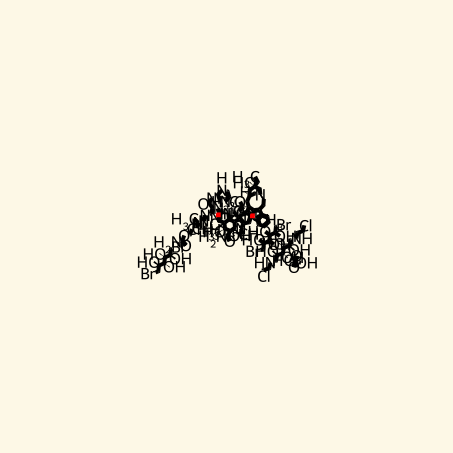 C1CNCCN1.CCOC(N)=O.CC[C@]1(O)C[C@H]2C[N@](CCc3c([nH]c4ccccc34)[C@@](C(=O)OC)(c3cc4c(cc3OC)N(C)[C@H]3[C@@](O)(C(N)=O)[C@H](O)[C@]5(CC)C=CCN6CC[C@]43[C@@H]65)C2)C1.CN(C)/N=N/c1[nH]cnc1C(N)=O.O=S(=O)(O)O.OC(CBr)C(O)C(O)C(O)CBr.O[C@@H]([C@H](O)[C@H](O)CBr)[C@H](O)CBr.O[C@@H]([C@H](O)[C@H](O)CNCCCl)[C@H](O)CNCCCl